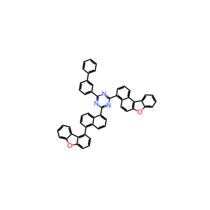 c1ccc(-c2cccc(-c3nc(-c4cccc5c(-c6cccc7oc8ccccc8c67)cccc45)nc(-c4cccc5c4ccc4oc6ccccc6c45)n3)c2)cc1